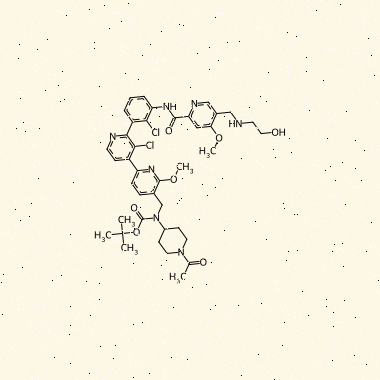 COc1cc(C(=O)Nc2cccc(-c3nccc(-c4ccc(CN(C(=O)OC(C)(C)C)C5CCN(C(C)=O)CC5)c(OC)n4)c3Cl)c2Cl)ncc1CNCCO